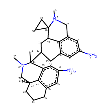 CN1Cc2cc(N)cc3c2C(CC(C2(C)c4cc(N)cc5c4[C@H](CCC5)CN2C)C3)C12CC2